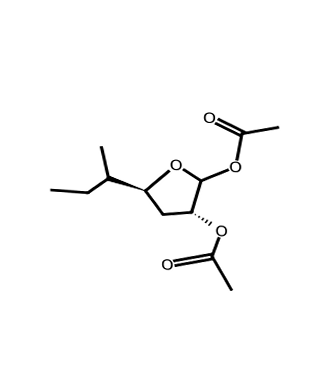 CCC(C)[C@@H]1C[C@@H](OC(C)=O)C(OC(C)=O)O1